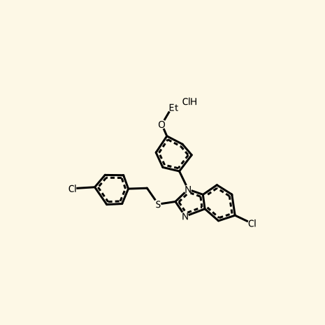 CCOc1ccc(-n2c(SCc3ccc(Cl)cc3)nc3cc(Cl)ccc32)cc1.Cl